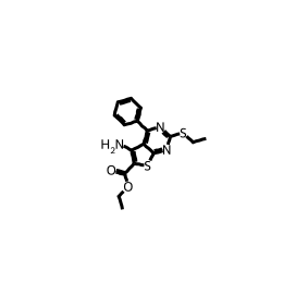 CCOC(=O)c1sc2nc(SCC)nc(-c3ccccc3)c2c1N